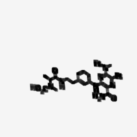 CCc1nc(C(N)=O)c(Nc2cccc(CCNC(=O)[C@H](C)N(C)C(=O)O)c2)nc1N(C)CC